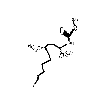 CC(C)(C)OC(=O)N[C@@H](C[C@H](CCCCI)C(=O)O)C(=O)O